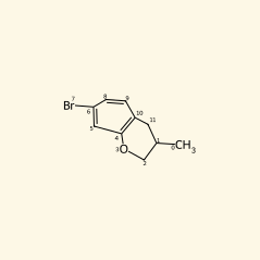 CC1COc2cc(Br)ccc2C1